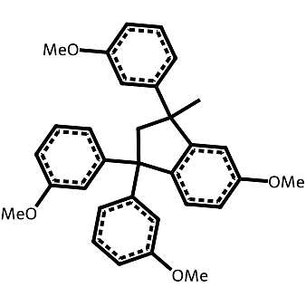 COc1cccc(C2(C)CC(c3cccc(OC)c3)(c3cccc(OC)c3)c3ccc(OC)cc32)c1